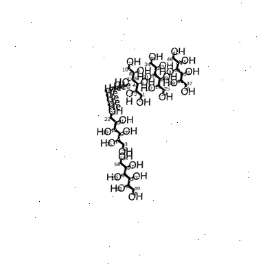 OC[C@@H](O)[C@@H](O)[C@H](O)[C@H](O)CO.OC[C@@H](O)[C@@H](O)[C@H](O)[C@H](O)CO.OC[C@@H](O)[C@@H](O)[C@H](O)[C@H](O)CO.OC[C@@H](O)[C@@H](O)[C@H](O)[C@H](O)CO.OC[C@@H](O)[C@@H](O)[C@H](O)[C@H](O)CO.[He].[He].[He].[He].[He].[He].[He].[He]